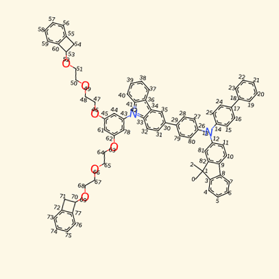 CC1(C)c2ccccc2-c2ccc(N(c3ccc(-c4ccccc4)cc3)c3ccc(-c4ccc5c(c4)c4ccccc4n5-c4cc(OCCOCCOC5Cc6ccccc65)cc(OCCOCCOC5Cc6ccccc65)c4)cc3)cc21